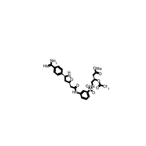 COC(=O)C[C@H](CNS(=O)(=O)c1cccc(NC(=O)C[C@H]2C[C@@H](c3ccc(C(=N)N)cc3)NO2)c1)OC(=O)C(F)(F)F